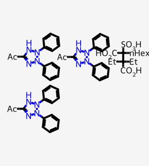 CC(=O)C1=NN(c2ccccc2)N(c2ccccc2)N1.CC(=O)C1=NN(c2ccccc2)N(c2ccccc2)N1.CC(=O)C1=NN(c2ccccc2)N(c2ccccc2)N1.CCCCCCC(C(=O)O)(C(CC)(CC)C(=O)O)S(=O)(=O)O